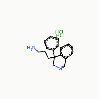 Cl.Cl.NCCCC1(c2ccccc2)CN=Cc2ccccc21